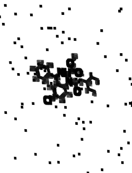 CCC(CC)CC(=O)N(CC(=O)OC)c1ccc(Cl)cc1C(=N)c1ccccc1